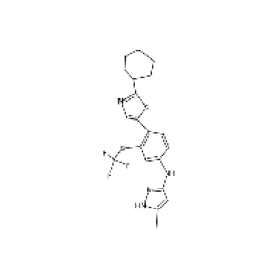 Cc1cc(Nc2ccc(-c3cnc(C4CCCCC4)s3)c(SC(F)(F)F)c2)n[nH]1